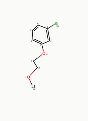 CCOCCOc1cccc(Br)c1